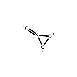 O=S1OO1